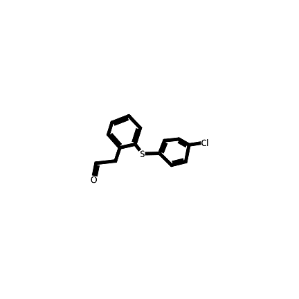 O=CCc1ccccc1Sc1ccc(Cl)cc1